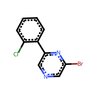 Clc1c[c]ccc1-c1cncc(Br)n1